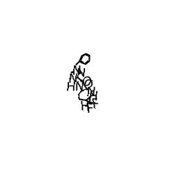 CN1C(=O)[C@@H](NC(=O)c2ncn(Cc3ccccc3)n2)CC[C@H]2[C@@H]1C2(F)F